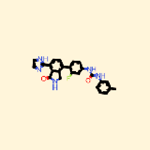 Cc1cccc(NC(=O)Nc2ccc(-c3ccc(-c4ncc[nH]4)c4c3CNC4=O)c(F)c2)c1